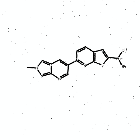 CC(C)[C@H](O)c1cc2ccc(-c3cnc4nn(C)cc4c3)nc2s1